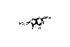 CSc1ncc2c(n1)CN(C(=O)O)C2C(=O)O